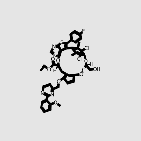 CCOC(=O)[C@H]1Cc2cc(ccc2OCc2ccnc(-c3ccccc3OC)n2)OC[C@@H](CO)Oc2c(Cl)c(C)c(c(C)c2Cl)-c2c(-c3ccc(F)cc3)sc3ncnc(c23)O1